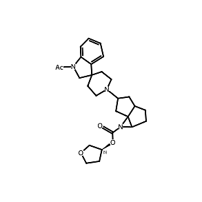 CC(=O)N1CC2(CCN(C3CC4CCC5N(C(=O)O[C@H]6CCOC6)C45C3)CC2)c2ccccc21